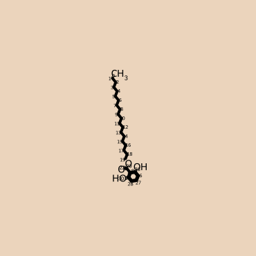 CCCCCCCCCCCCCCCCCCCCOC(=O)c1c(O)cccc1O